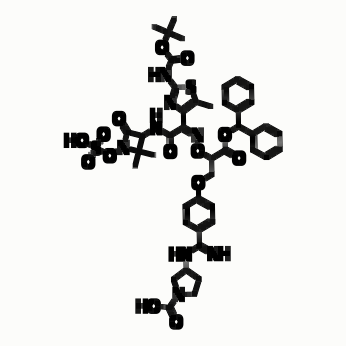 Cc1sc(NC(=O)OC(C)(C)C)nc1C(=NOC(COc1ccc(C(=N)NC2CCN(C(=O)O)C2)cc1)C(=O)OC(c1ccccc1)c1ccccc1)C(=O)NC1C(=O)N(OS(=O)(=O)O)C1(C)C